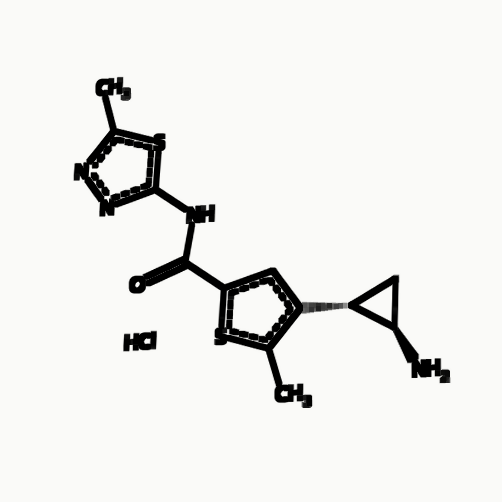 Cc1nnc(NC(=O)c2cc([C@@H]3C[C@H]3N)c(C)s2)s1.Cl